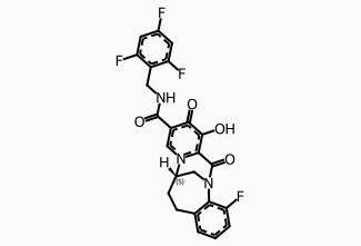 O=C(NCc1c(F)cc(F)cc1F)c1cn2c(c(O)c1=O)C(=O)N1C[C@@H]2CCc2cccc(F)c21